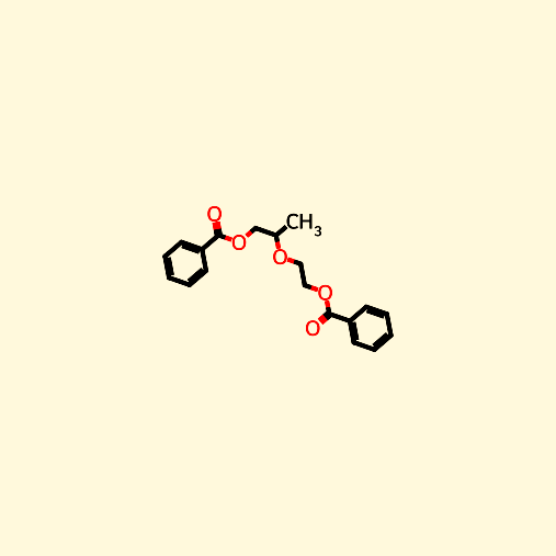 CC(COC(=O)c1ccccc1)OCCOC(=O)c1ccccc1